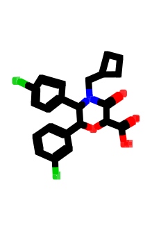 O=C(O)C1OC(c2cccc(Cl)c2)C(c2ccc(Cl)cc2)N(CC2CCC2)C1=O